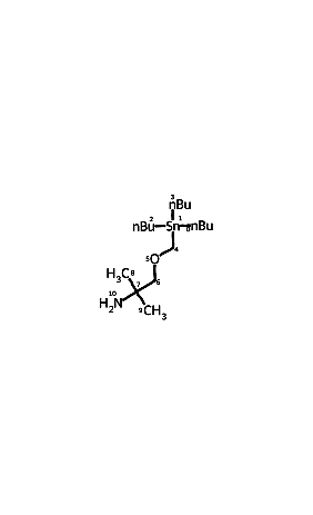 CCC[CH2][Sn]([CH2]CCC)([CH2]CCC)[CH2]OCC(C)(C)N